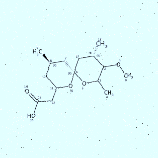 COC1C(C)O[C@]2(C[C@H](C)CC(CC(=O)O)O2)C[C@@H]1C